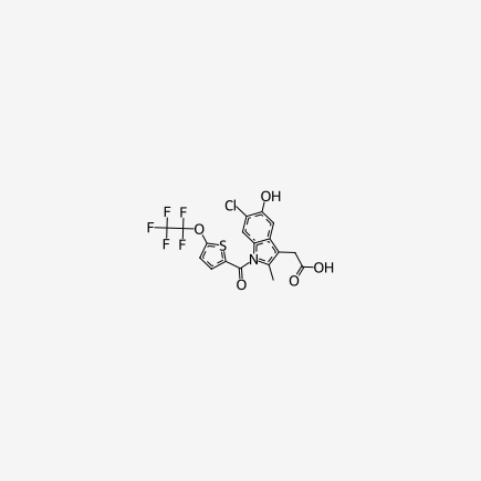 Cc1c(CC(=O)O)c2cc(O)c(Cl)cc2n1C(=O)c1ccc(OC(F)(F)C(F)(F)F)s1